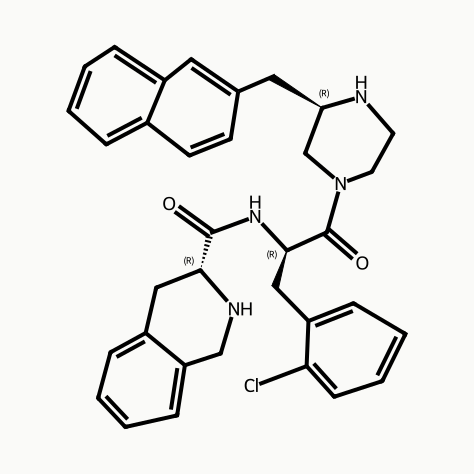 O=C(N[C@H](Cc1ccccc1Cl)C(=O)N1CCN[C@H](Cc2ccc3ccccc3c2)C1)[C@H]1Cc2ccccc2CN1